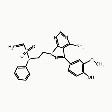 C=CS(=O)(=O)N(CCn1nc(-c2ccc(O)c(OC)c2)c2c(N)ncnc21)c1ccccc1